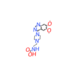 COc1cc2ncnc(N3CCN(CCNC(=O)O)CC3)c2cc1OC